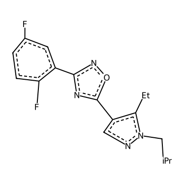 CCc1c(-c2nc(-c3cc(F)ccc3F)no2)cnn1CC(C)C